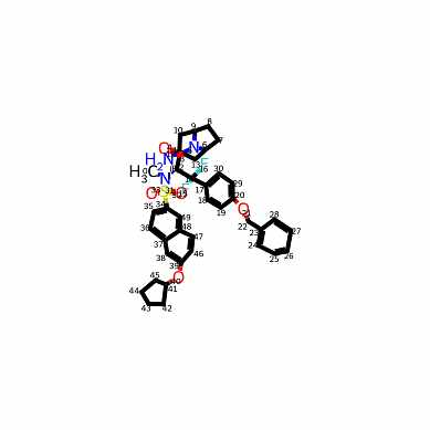 CN([C@H](C(=O)N1C2CCC1CC(N)C2)C(F)(F)c1ccc(OCc2ccccc2)cc1)S(=O)(=O)c1ccc2cc(OC3CCCC3)ccc2c1